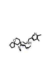 C=N/C(=C\C=C/C)[C@]1(CCNCc2cnc(C)c(C)c2)CCOC2(CCCC2)C1